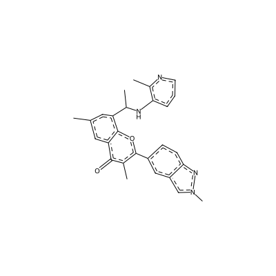 Cc1cc(C(C)Nc2cccnc2C)c2oc(-c3ccc4nn(C)cc4c3)c(C)c(=O)c2c1